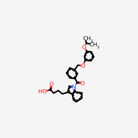 CC(C)Oc1cccc(OCc2cccc(C(=O)n3cc(CCCC(=O)O)c4ccccc43)c2)c1